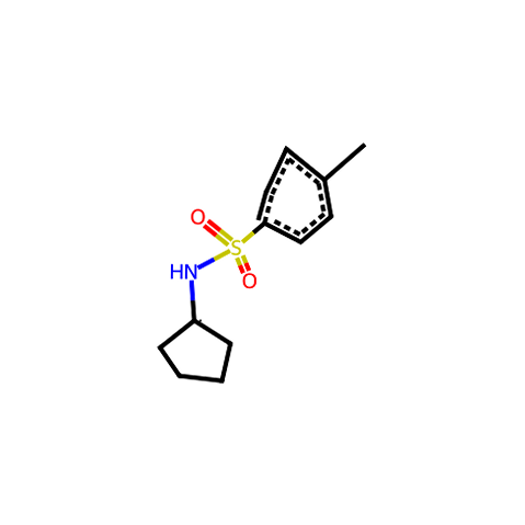 Cc1ccc(S(=O)(=O)N[C]2CCCC2)cc1